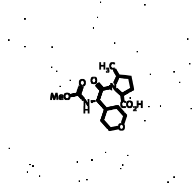 COC(=O)N[C@H](C(=O)N1C(C)CCC1C(=O)O)C1CCOCC1